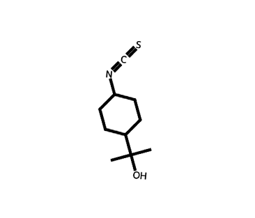 CC(C)(O)C1CCC(N=C=S)CC1